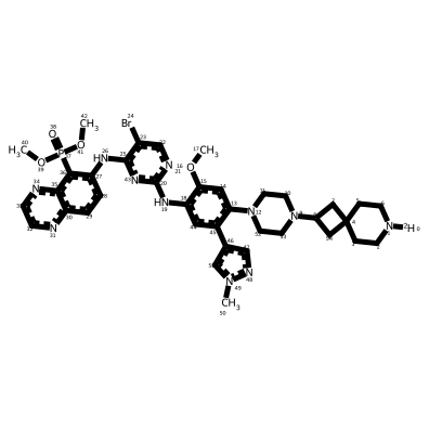 [2H]N1CCC2(CC1)CC(N1CCN(c3cc(OC)c(Nc4ncc(Br)c(Nc5ccc6nccnc6c5P(=O)(OC)OC)n4)cc3-c3cnn(C)c3)CC1)C2